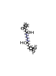 COc1ccc(CCC(O)/C=C/C=C/C=C/C(O)CCC(=O)N2CCCC2)cc1OC